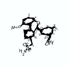 COc1cccc2c1-c1ccc(CS(N)(=O)=O)cc1C(c1cc(O)cc(F)c1)O2